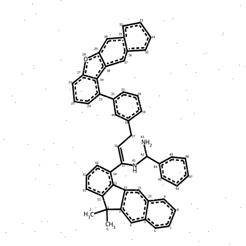 CC1(C)c2cc3ccccc3cc2-c2c(/C(=C/Cc3cccc(-c4cccc5oc6cc7ccccc7cc6c45)c3)NC(N)c3ccccc3)cccc21